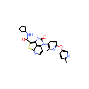 Cc1ccc(Oc2ccc(N3C(=O)Nc4c(C(=O)NC5CCCC5)sc5nccc3c45)c(C)n2)cn1